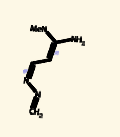 C=N/N=C\C=C(\N)NC